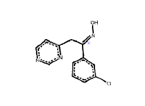 O/N=C(\Cc1ccncn1)c1cccc(Cl)c1